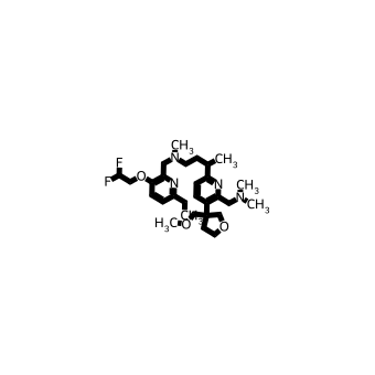 CCc1ccc(OCC(F)F)c(CN(C)CCC(C)c2ccc(C3(COC)CCOC3)c(CN(C)C)n2)n1